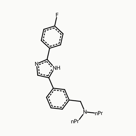 CCCN(CCC)Cc1cccc(-c2cnc(-c3ccc(F)cc3)[nH]2)c1